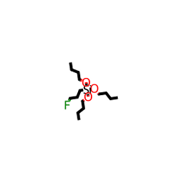 CCCCO[Si](CCCF)(OCCCC)OCCCC